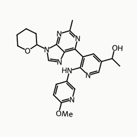 COc1ccc(Nc2ncc(C(C)O)cc2-c2nc(C)nc3c2ncn3C2CCCCO2)cn1